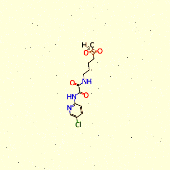 CS(=O)(=O)CC[CH]CNC(=O)C(=O)Nc1ccc(Cl)cn1